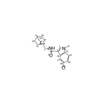 Cn1cc(C(=O)NCC23CCC(CC2)CC3)c2cc(Cl)ccc21